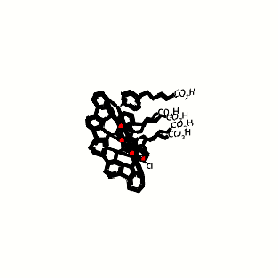 O=C(O)CCCCc1ccc([C@]23C4=C5[C@]6(c7ccc(CCCCC(=O)O)cc7)c7c8ccc(c72)-c2ccc7c(c23)[C@]2(c3ccc(CCCCC(=O)O)cc3)C4=C3[C@@]4(c9ccc(CCCCC(=O)O)cc9)c9c(ccc-7c92)-c2ccc7c(c24)[C@@](c2ccc(CCCCC(=O)O)cc2)(c2c-7ccc-8c26)[C@@]53Cl)cc1